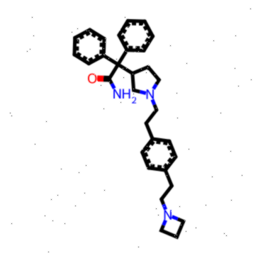 NC(=O)C(c1ccccc1)(c1ccccc1)C1CCN(CCc2ccc(CCN3CCC3)cc2)C1